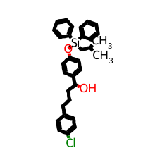 CC(C)C[Si](Oc1ccc(C(O)CCCc2ccc(Cl)cc2)cc1)(c1ccccc1)c1ccccc1